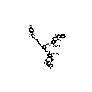 COc1cc2c(cc1OCc1cc(COc3cc4c(cc3OC)C(=O)N3c5ccccc5C[C@H]3C=N4)cc(OCCCCC(=O)CCCS(=O)(=O)c3ccc(Br)cc3)c1)N=C[C@@H]1Cc3ccccc3N1C2=O